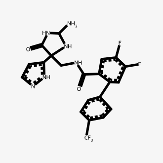 NC1NC(=O)C(CNC(=O)c2cc(F)c(F)cc2-c2ccc(C(F)(F)F)cc2)(c2ccn[nH]2)N1